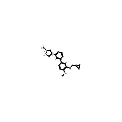 COc1ccc(-c2cccc([C@H]3COB(O)C3)c2)cc1OCC1CC1